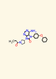 C=CC(=O)N1CC[C@@H](n2c(=O)n(-c3ccc(Oc4ccccc4)cc3)c3c(N)ncnc32)C1